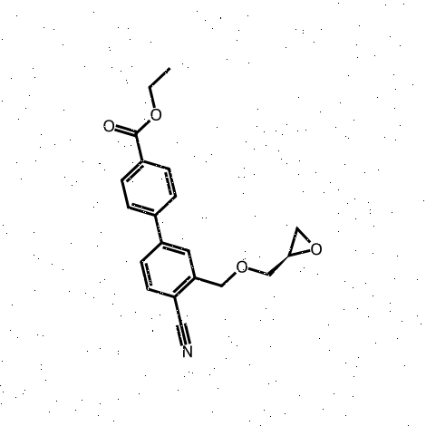 CCOC(=O)c1ccc(-c2ccc(C#N)c(COC[C@H]3CO3)c2)cc1